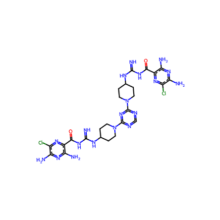 N=C(NC(=O)c1nc(Cl)c(N)nc1N)NC1CCN(c2ncnc(N3CCC(NC(=N)NC(=O)c4nc(Cl)c(N)nc4N)CC3)n2)CC1